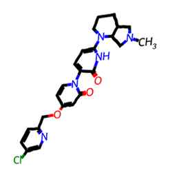 CN1CC2CCCN(c3ccc(-n4ccc(OCc5ccc(Cl)cn5)cc4=O)c(=O)[nH]3)C2C1